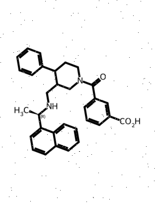 C[C@@H](NCC1CN(C(=O)c2cccc(C(=O)O)c2)CCC1c1ccccc1)c1cccc2ccccc12